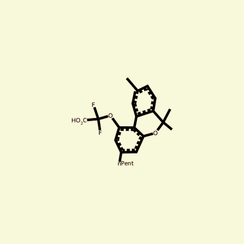 CCCCCc1cc(OC(F)(F)C(=O)O)c2c(c1)OC(C)(C)c1ccc(C)cc1-2